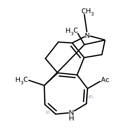 CC(=O)/C1=C/N/C=C\C2(C)C3=C1C1=C(CC3)N(C)C(C1)C2C